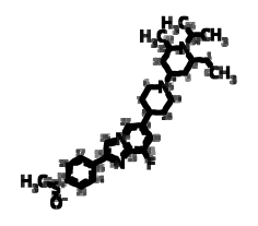 CCC1CC(N2CCC(c3cc(F)c4nc(-c5ccc([S+](C)[O-])cc5)cn4c3)CC2)CC(C)N1C(C)C